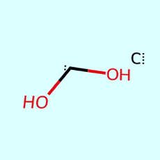 O[C]O.[C]